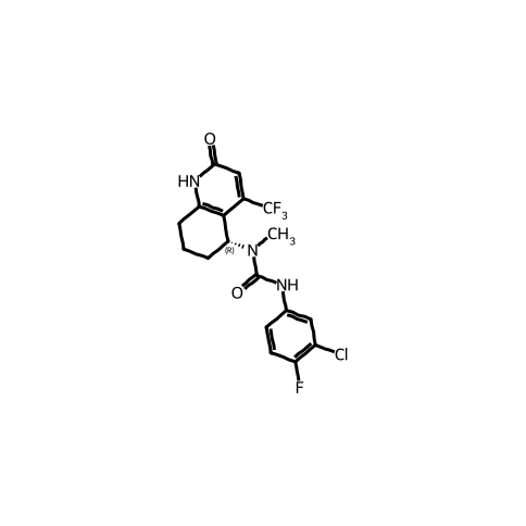 CN(C(=O)Nc1ccc(F)c(Cl)c1)[C@@H]1CCCc2[nH]c(=O)cc(C(F)(F)F)c21